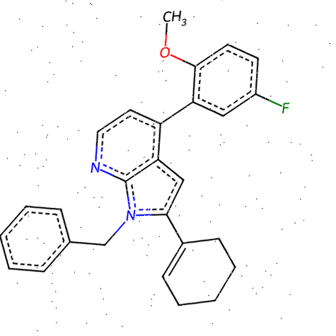 COc1ccc(F)cc1-c1ccnc2c1cc(C1=CCCCC1)n2Cc1ccccc1